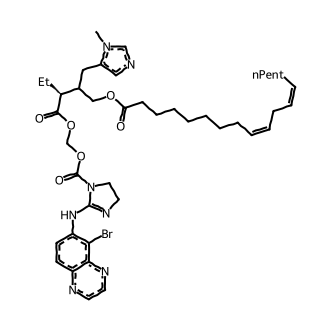 CCCCC/C=C\C/C=C\CCCCCCCC(=O)OCC(Cc1cncn1C)[C@H](CC)C(=O)OCOC(=O)N1CCN=C1Nc1ccc2nccnc2c1Br